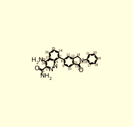 NC(=O)c1nnc2c(-c3ccc4c(c3)CN(c3ccccc3)C4=O)cccc2c1N